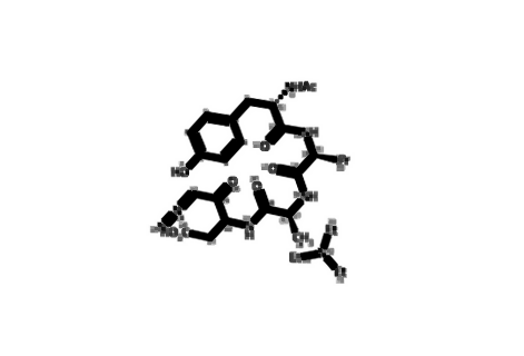 CC(=O)N[C@@H](Cc1ccc(O)cc1)C(=O)N[C@H](C(=O)N[C@@H](C)C(=O)NC(CC(=O)O)C(=O)C=[N+]=[N-])C(C)C.CCN(CC)CC